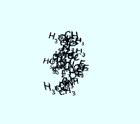 CC(C)c1nc(-c2cc(NC(=O)OC(C)(C)C)cc(F)c2OC(F)(F)F)c(F)c2c1c(C1[C@H]3CN(C(=O)OC(C)(C)C)C[C@@H]13)c(C(=O)O)n2C1CC1